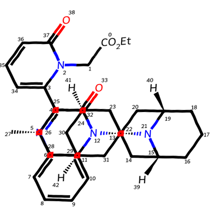 CCOC(=O)Cn1c(-c2nc3ccccc3n([C@H]3C[C@H]4CCC[C@@H](C3)N4[C@H]3C[C@@H]4C[C@@H](C)C[C@@H](C4)C3)c2=O)cccc1=O